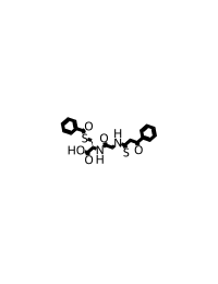 O=C(CNC(=S)CC(=O)c1ccccc1)N[C@@H](CSC(=O)c1ccccc1)C(=O)O